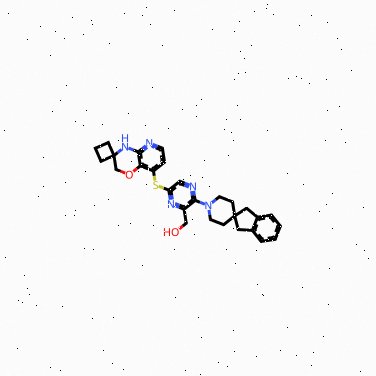 OCc1nc(Sc2ccnc3c2OCC2(CCC2)N3)cnc1N1CCC2(CC1)Cc1ccccc1C2